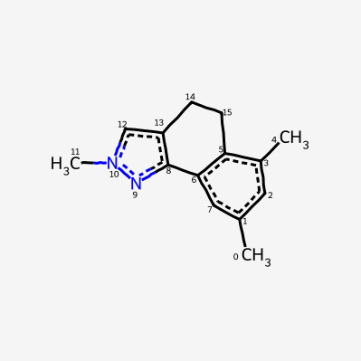 Cc1cc(C)c2c(c1)-c1nn(C)cc1CC2